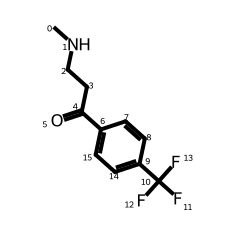 CNCCC(=O)c1ccc(C(F)(F)F)cc1